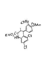 CCOC(=O)C1Nc2cc(Cl)cc(Cl)c2C(c2ccc(OC)c(OC)c2)C1C